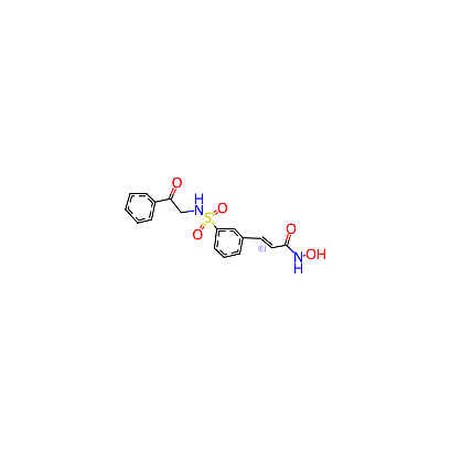 O=C(/C=C/c1cccc(S(=O)(=O)NCC(=O)c2ccccc2)c1)NO